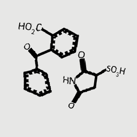 O=C(O)c1ccccc1C(=O)c1ccccc1.O=C1CC(S(=O)(=O)O)C(=O)N1